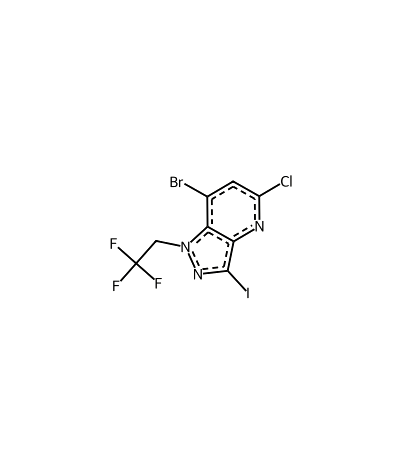 FC(F)(F)Cn1nc(I)c2nc(Cl)cc(Br)c21